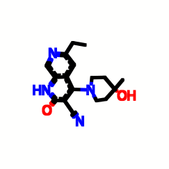 CCc1cc2c(N3CCC(C)(O)CC3)c(C#N)c(=O)[nH]c2cn1